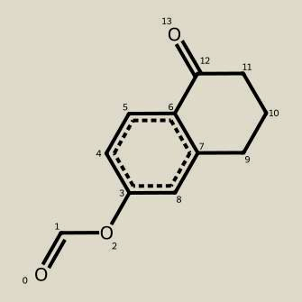 O=COc1ccc2c(c1)CCCC2=O